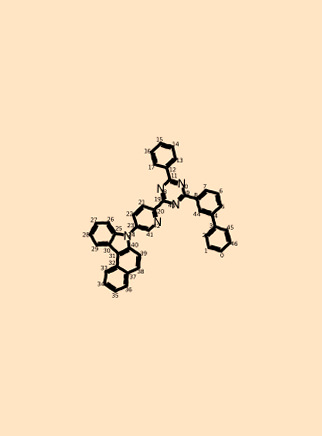 c1ccc(-c2cccc(-c3nc(-c4ccccc4)nc(-c4ccc(-n5c6ccccc6c6c7ccccc7ccc65)cn4)n3)c2)cc1